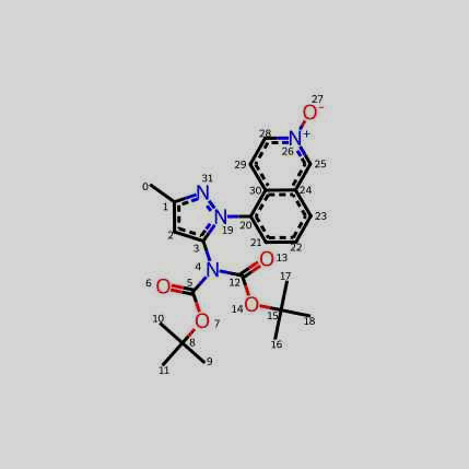 Cc1cc(N(C(=O)OC(C)(C)C)C(=O)OC(C)(C)C)n(-c2cccc3c[n+]([O-])ccc23)n1